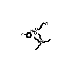 CCCC[N+](CCCC)(CCCC)CCCC.O=C(Nc1cccc(Cl)c1)OCC#CCCl